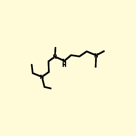 CCN(CC)CCN(C)NCCCN(C)C